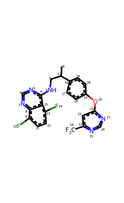 CC(CNc1ncnc2c(F)ccc(F)c12)c1ccc(Oc2cc(C(F)(F)F)ncn2)cc1